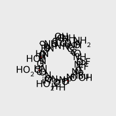 CCCC[C@H]1C(=O)N2CCC[C@@H]2C(=O)N[C@@H](CC(=O)O)C(=O)N[C@@H](C(C)C)C(=O)N(C)[C@@H](Cc2ccccc2)C(=O)N[C@@H](CCC(=O)O)C(=O)N2C[C@H](O)C[C@@H]2C(=O)NC(Cc2c[nH]c3ccccc23)C(=O)N[C@@H](Cc2ccc(O)cc2)C(=O)N[C@@H](CCC(N)=O)C(=O)N[C@H](C(=O)NCC(N)=O)CSCC(=O)N[C@@H](Cc2cc(F)c(F)c(F)c2)C(=O)N(C)[C@@H](Cc2ccc(O)cc2)C(=O)N1C